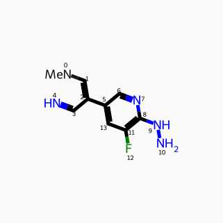 CN/C=C(\C=N)c1cnc(NN)c(F)c1